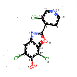 Oc1c(Cl)cc2nc(-c3ccncc3Cl)oc2c1Cl